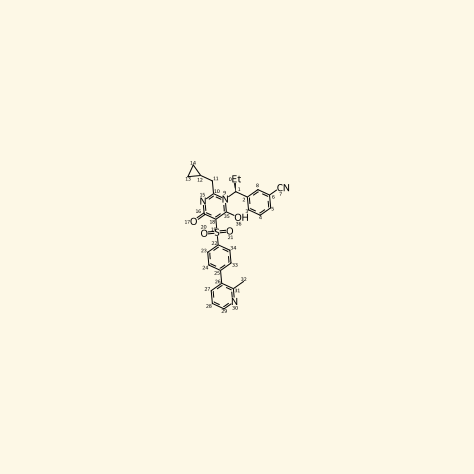 CC[C@@H](c1cccc(C#N)c1)n1c(CC2CC2)nc(=O)c(S(=O)(=O)c2ccc(-c3cccnc3C)cc2)c1O